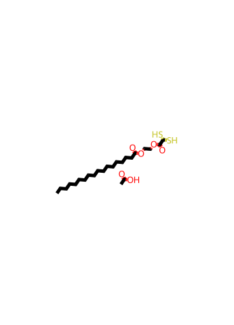 CC(=O)O.CCCCCCCCCCCCCCCCCC(=O)OCCOC(=O)C(S)S